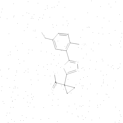 CCCCCCCCCCCc1ccc(OC)c(-c2nnc(C3(C(=N)N)CC3)o2)c1.Cl